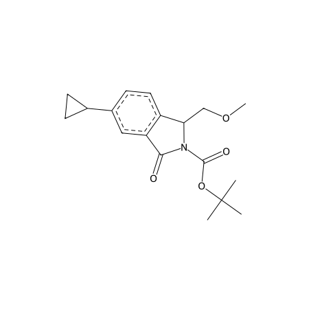 COCC1c2ccc(C3CC3)cc2C(=O)N1C(=O)OC(C)(C)C